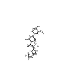 COc1cc(-c2cc(C)c3c(n2)[C@H](C)N(c2cnn(CC(F)(F)F)c2)C3=O)cnc1C